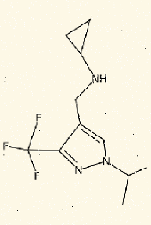 CC(C)n1cc(CNC2CC2)c(C(F)(F)F)n1